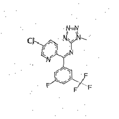 Cn1nnnc1/N=C(/c1cc(F)cc(C(F)(F)F)c1)c1ccc(Cl)cn1